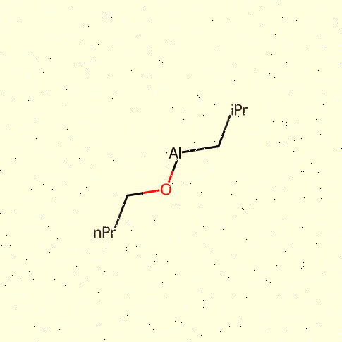 CCCC[O][Al][CH2]C(C)C